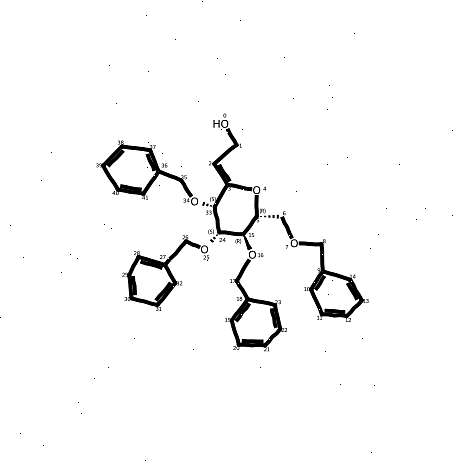 OCC=C1O[C@H](COCc2ccccc2)[C@@H](OCc2ccccc2)[C@H](OCc2ccccc2)[C@@H]1OCc1ccccc1